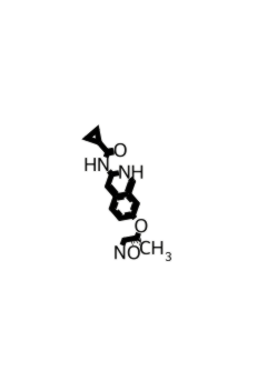 C[C@H](CN=O)Oc1ccc2c(c1)=CNC(NC(=O)C1CC1)C=2